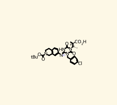 C[C@@H](C(=O)O)[C@H](C)n1c(=O)[nH]/c(=N\c2ccc3c(c2)CN(C(=O)OC(C)(C)C)CC3)n(Cc2ccc(Cl)cc2)c1=O